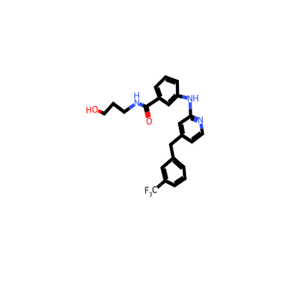 O=C(NCCCO)c1cccc(Nc2cc(Cc3cccc(C(F)(F)F)c3)ccn2)c1